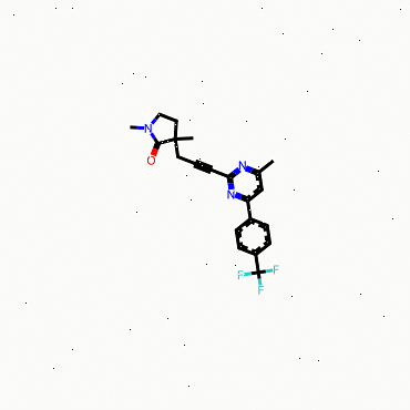 Cc1cc(-c2ccc(C(F)(F)F)cc2)nc(C#CCC2(C)CCN(C)C2=O)n1